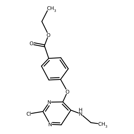 CCNc1cnc(Cl)nc1Oc1ccc(C(=O)OCC)cc1